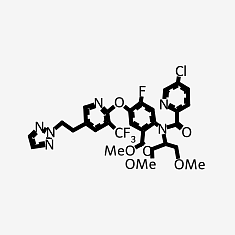 COCC(COC)N(C(=O)c1ccc(Cl)cn1)c1cc(F)c(Oc2ncc(CCn3nccn3)cc2C(F)(F)F)cc1C(=O)OC